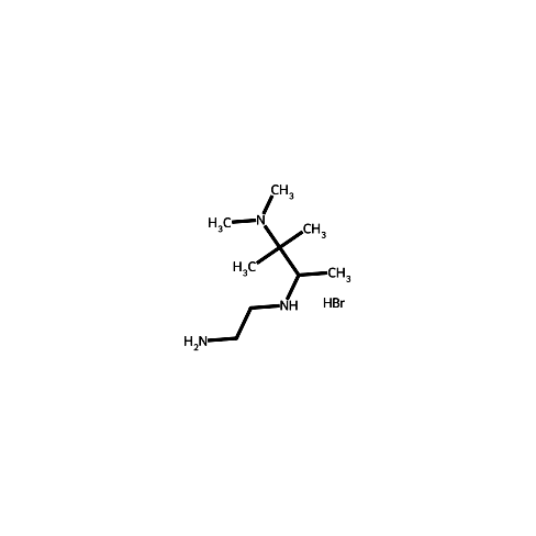 Br.CC(NCCN)C(C)(C)N(C)C